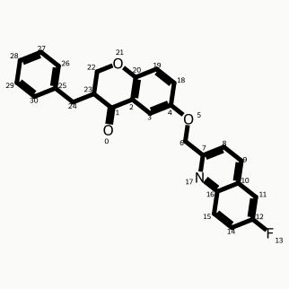 O=C1c2cc(OCc3ccc4cc(F)ccc4n3)ccc2OCC1Cc1ccccc1